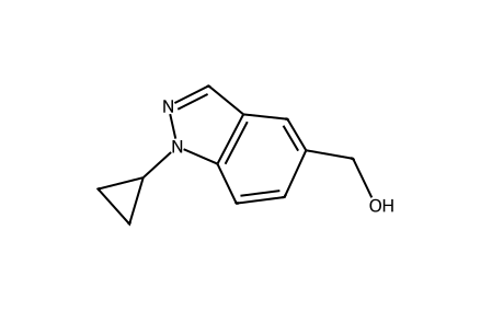 OCc1ccc2c(cnn2C2CC2)c1